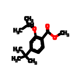 COC(=O)c1ccc(C(C)(C)C)cc1O[SiH](C)C